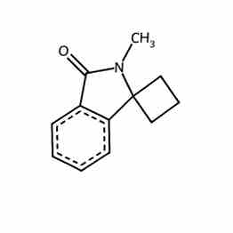 CN1C(=O)c2ccccc2C12CCC2